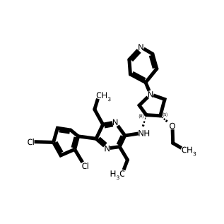 CCO[C@H]1CN(c2ccncc2)C[C@H]1Nc1nc(CC)c(-c2ccc(Cl)cc2Cl)nc1CC